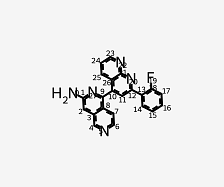 Nc1cc2cnccc2c(-c2cc(-c3ccccc3F)nc3ncccc23)n1